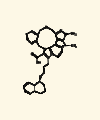 CCc1c2c(nn1C)COCc1ccccc1Cn1c(C(=O)O)c(CCCOC3CCCC4C=CC=CC43)c3ccc(F)c-2c31